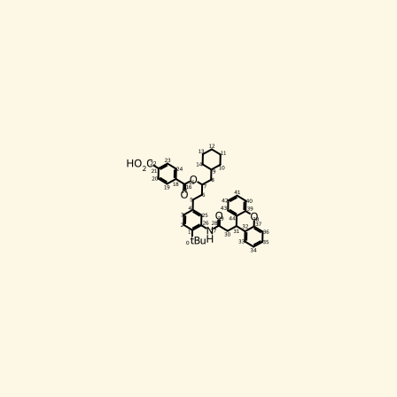 CC(C)(C)c1ccc(CCC(CC2CCCCC2)OC(=O)c2ccc(C(=O)O)cc2)cc1NC(=O)CC1c2ccccc2Oc2ccccc21